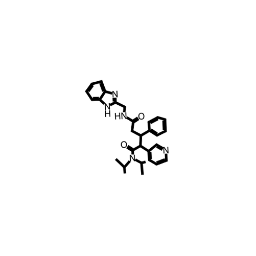 CC(C)N(C(=O)C(c1cccnc1)C(CC(=O)NCc1nc2ccccc2[nH]1)c1ccccc1)C(C)C